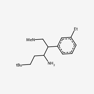 CCc1cccc(C(CNC)C(N)CCC(C)(C)C)c1